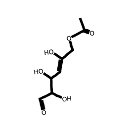 CC(=O)OC/C(O)=C/C(O)C(O)C=O